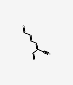 C=C/C(C#N)=C\N=C\C=O